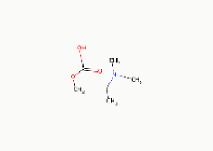 CCN(C)C.COC(=O)O